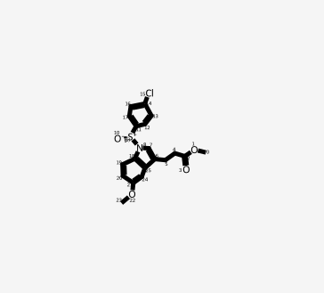 COC(=O)CCc1cn([S@+]([O-])c2ccc(Cl)cc2)c2ccc(OC)cc12